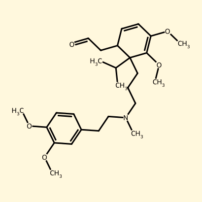 COC1=C(OC)C(CCCN(C)CCc2ccc(OC)c(OC)c2)(C(C)C)C(CC=O)C=C1